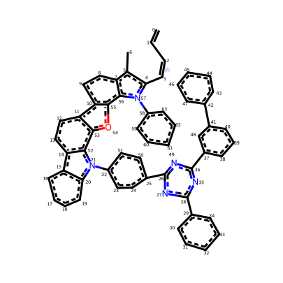 C=C/C=C\c1c(C)c2ccc3c4ccc5c6ccccc6n(-c6ccc(-c7nc(-c8ccccc8)nc(-c8cccc(-c9ccccc9)c8)n7)cc6)c5c4oc3c2n1-c1ccccc1